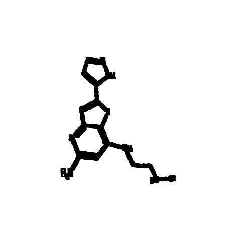 CCNCCNc1cc(N)nc2cc(-c3ccn[nH]3)sc12